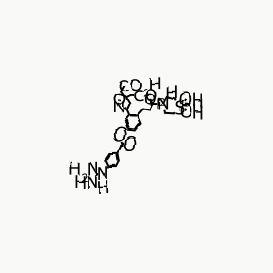 N=C(N)Nc1ccc(C(=O)Oc2ccc(CCC(=O)N3CCS(O)(O)CC3)c(C3=NOC(CC(=O)O)(CC(=O)O)C3)c2)cc1